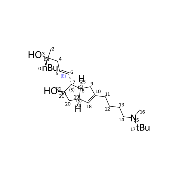 CCCC[C@](C)(O)C/C=C/[C@@H]1[C@H]2CC(CCCCN(C)C(C)(C)C)=C[C@H]2C[C@H]1O